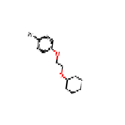 CC(C)c1ccc(OCCOC2CCCCC2)cc1